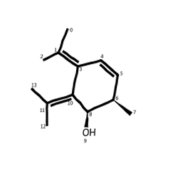 CC(C)=C1C=C[C@@H](C)[C@@H](O)C1=C(C)C